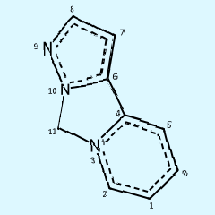 c1cc[n+]2c(c1)-c1ccnn1C2